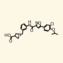 CC(C)Oc1ccc(-c2cc(C(=O)Nc3cccc(CN4CC(C(=O)O)C4)c3)no2)cc1Cl